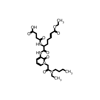 CCCCN(CC)C(=O)Cn1cccc(NC(=O)C(CC/C=C/C(=O)OCC)NC(=O)CCC(=O)O)c1=O